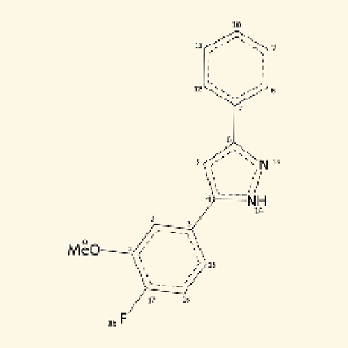 COc1cc(-c2cc(-c3ccccc3)n[nH]2)ccc1F